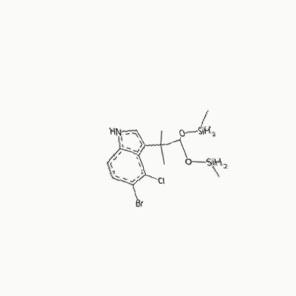 C[SiH2]OC(O[SiH2]C)C(C)(C)c1c[nH]c2ccc(Br)c(Cl)c12